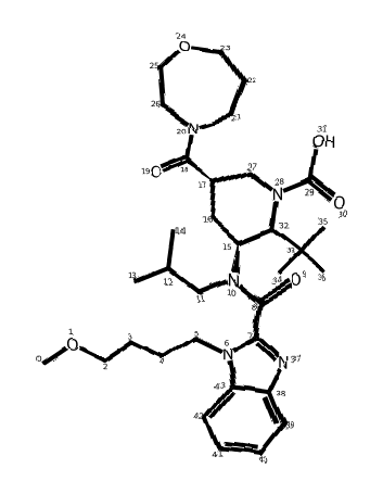 COCCCCn1c(C(=O)N(CC(C)C)[C@H]2C[C@@H](C(=O)N3CCCOCC3)CN(C(=O)O)C2C(C)(C)C)nc2ccccc21